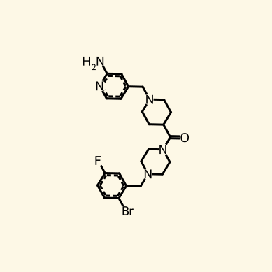 Nc1cc(CN2CCC(C(=O)N3CCN(Cc4cc(F)ccc4Br)CC3)CC2)ccn1